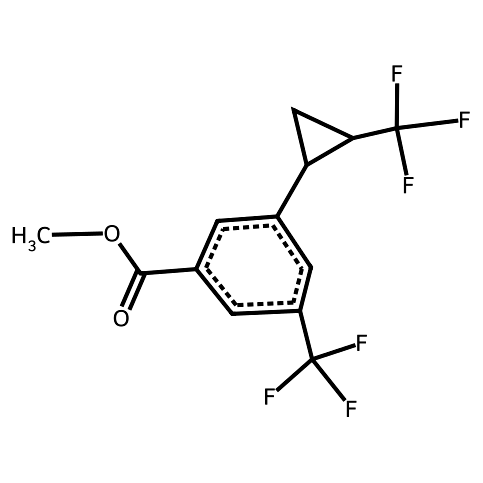 COC(=O)c1cc(C2CC2C(F)(F)F)cc(C(F)(F)F)c1